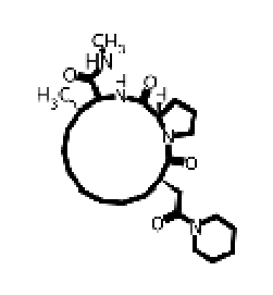 CNC(=O)C1NC(=O)[C@@H]2CCCN2C(=O)[C@@H](CC(=O)N2CCCCC2)CCCCCCC[C@@H]1C